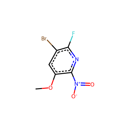 COc1cc(Br)c(F)nc1[N+](=O)[O-]